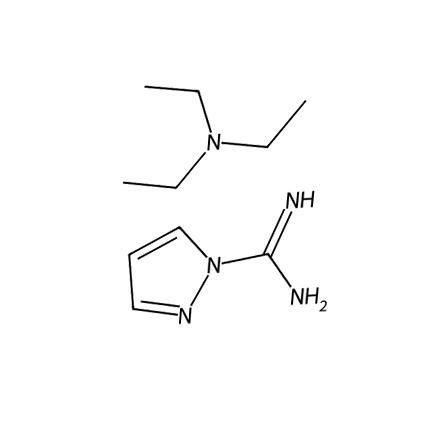 CCN(CC)CC.N=C(N)n1cccn1